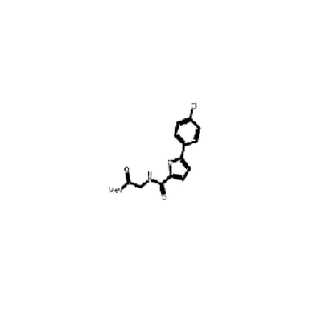 CNC(=O)CNC(=O)c1ccc(-c2ccc(Cl)cc2)o1